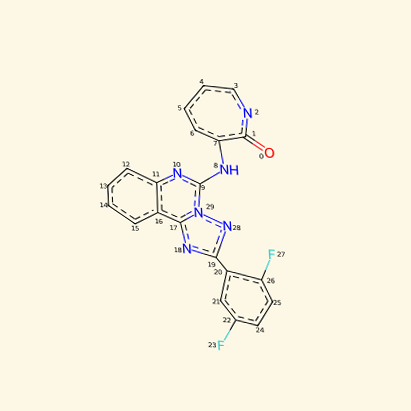 O=c1nccccc1Nc1nc2ccccc2c2nc(-c3cc(F)ccc3F)nn12